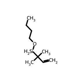 C=CC(C)(C)[SiH2]OCCCC